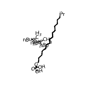 CC(C)CCCCCCCCCCCCCCCOP(=O)(O)O.CCCCP(C)CCCC.CCCCP(C)CCCC